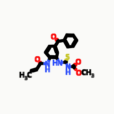 CC=CC(=O)Nc1ccc(C(=O)c2ccccc2)cc1NC(=S)NC(=O)OC